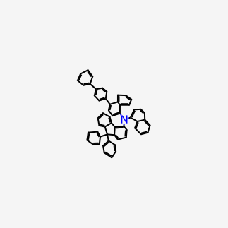 c1ccc(-c2ccc(-c3ccc(N(c4cccc5c4-c4ccccc4C5(c4ccccc4)c4ccccc4)c4cccc5ccccc45)c4ccccc34)cc2)cc1